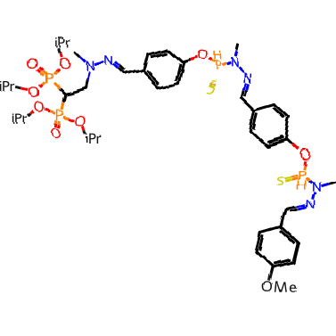 COc1ccc(/C=N/N(C)[PH](=S)Oc2ccc(/C=N/N(C)[PH](=S)Oc3ccc(/C=N/N(C)CC(P(=O)(OC(C)C)OC(C)C)P(=O)(OC(C)C)OC(C)C)cc3)cc2)cc1